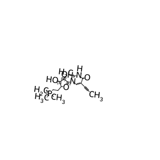 C=C1NC(=O)C(C#CC)=CN1[C@@H]1OC(CCP(=C)(C)C)[C@@H](O)[C@H]1O